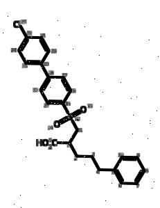 O=C(O)C(CCCc1ccccc1)CS(=O)(=O)c1ccc(-c2ccc(Cl)cc2)cc1